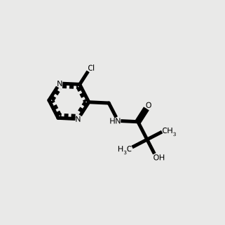 CC(C)(O)C(=O)NCc1nccnc1Cl